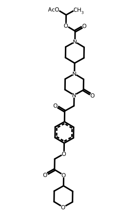 CC(=O)OC(C)OC(=O)N1CCC(N2CCN(CC(=O)c3ccc(OCC(=O)OC4CCOCC4)cc3)C(=O)C2)CC1